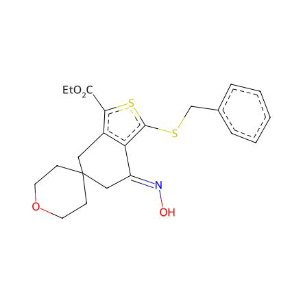 CCOC(=O)c1sc(SCc2ccccc2)c2c1CC1(CCOCC1)CC2=NO